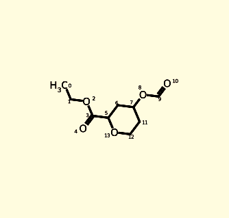 CCOC(=O)C1CC(OC=O)CCO1